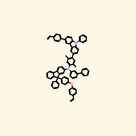 C=Cc1ccc(Oc2ccc(C3(c4ccccc4)c4ccccc4-c4ccc(N(c5cccc(-c6ccccc6)c5)c5cc(C)c(-c6ccc7c(c6)c6cc(-c8ccc(C=C)cc8)ccc6n7-c6ccccc6)cc5C)cc43)cc2)cc1